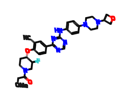 COCC(=O)N1CC[C@H](Oc2ccc(-c3ncnc(Nc4ccc(N5CCN(C6COC6)CC5)cc4)n3)cc2C#N)[C@@H](F)C1